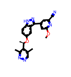 COc1cc(-c2n[nH]c3ccc(O[C@H](C)c4c(C)cnnc4C)cc23)cc(C#N)n1